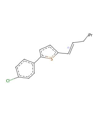 CC(C)C/C=C/c1ccc(-c2ccc(Cl)cc2)s1